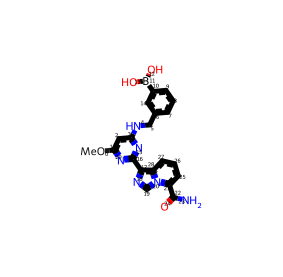 COc1cc(NCc2cccc(B(O)O)c2)nc(-c2ncn3c(C(N)=O)cccc23)n1